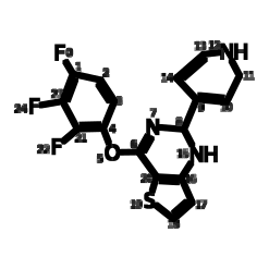 Fc1ccc(OC2=NC(C3=CCNC=C3)Nc3ccsc32)c(F)c1F